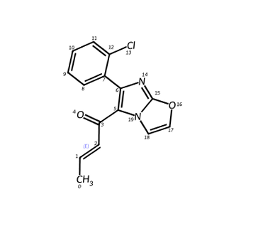 C/C=C/C(=O)c1c(-c2ccccc2Cl)nc2occn12